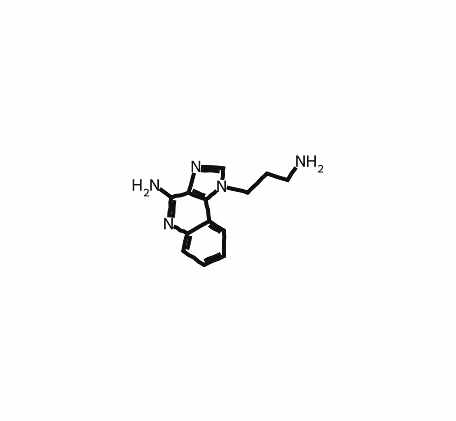 NCCCn1cnc2c(N)nc3ccccc3c21